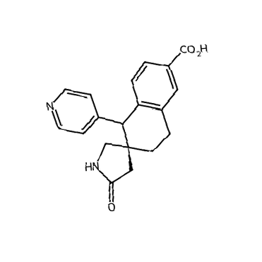 O=C1C[C@@]2(CCc3cc(C(=O)O)ccc3C2c2ccncc2)CN1